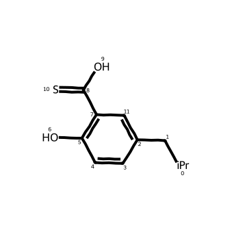 CC(C)Cc1ccc(O)c(C(O)=S)c1